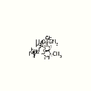 Cc1cccc2c1cc(C(C)(C)C)[s+]2C(F)(F)F.F[B-](F)(F)F